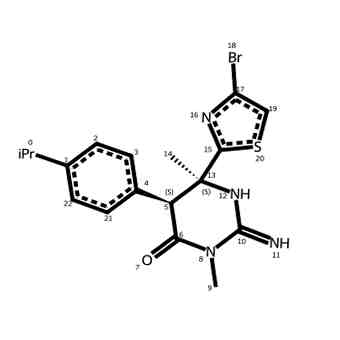 CC(C)c1ccc([C@@H]2C(=O)N(C)C(=N)N[C@]2(C)c2nc(Br)cs2)cc1